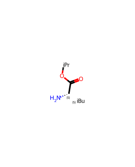 CC[C@H](C)[C@H](N)C(=O)OC(C)C